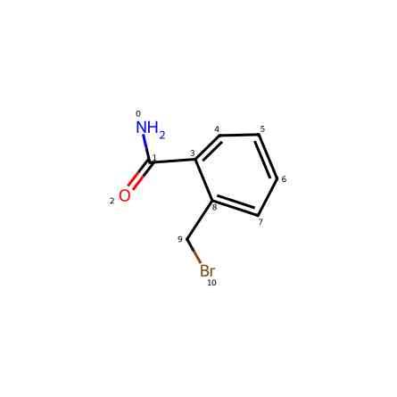 NC(=O)c1ccccc1CBr